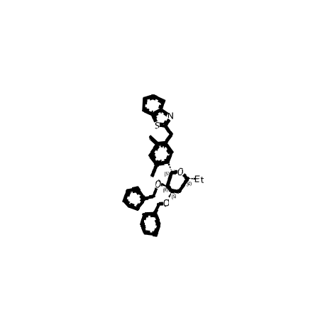 CC[C@@H]1C[C@H](OCc2ccccc2)[C@@H](OCc2ccccc2)[C@H](c2cc(Cc3nc4ccccc4s3)c(C)cc2C)O1